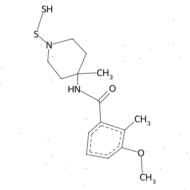 COc1cccc(C(=O)NC2(C)CCN(SS)CC2)c1C